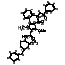 COc1c(C(=O)NC2CCN(Cc3ccccc3)CC2C)n(C)c2c1c(=O)n(CC(=O)c1ccccc1)c1ccccc21